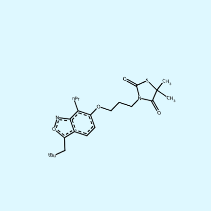 CCCc1c(OCCCN2C(=O)SC(C)(C)C2=O)ccc2c(CC(C)(C)C)onc12